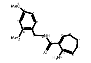 COc1ccc(CNC(=O)C2=CCCCC=C2N)c(OC)c1